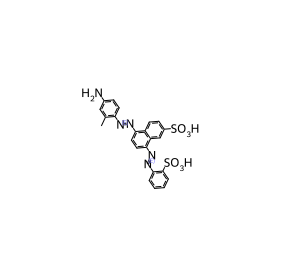 Cc1cc(N)ccc1/N=N/c1ccc(/N=N/c2ccccc2S(=O)(=O)O)c2cc(S(=O)(=O)O)ccc12